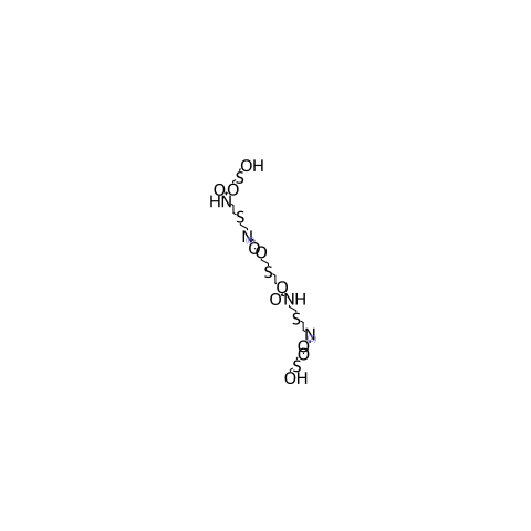 O=C(NCCSCC/N=C\OOCSCO)OCCSCCOO/C=N/CCSCCNC(=O)OCSCO